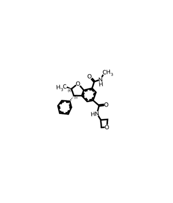 CNC(=O)c1cc(C(=O)NC2COC2)cc2c1O[C@H](C)[C@H]2c1ccccc1